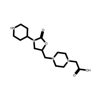 O=C(O)CN1CCN(CC2CN(C3CCNCC3)C(=O)O2)CC1